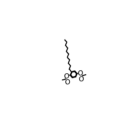 CCCCCCCCCCCc1cc(OC(C)=O)ccc1OC(C)=O